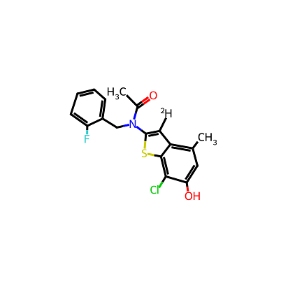 [2H]c1c(N(Cc2ccccc2F)C(C)=O)sc2c(Cl)c(O)cc(C)c12